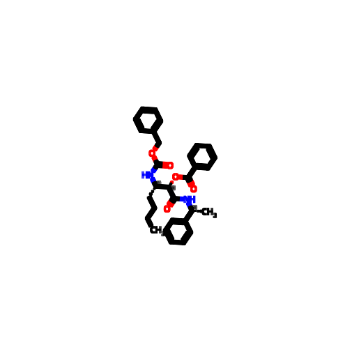 CCCC[C@H](NC(=O)OCc1ccccc1)[C@H](OC(=O)c1ccccc1)C(=O)N[C@H](C)c1ccccc1